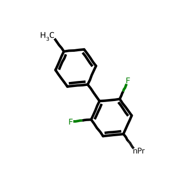 CCCc1cc(F)c(-c2ccc(C)cc2)c(F)c1